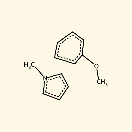 COc1ccccc1.Cn1cccc1